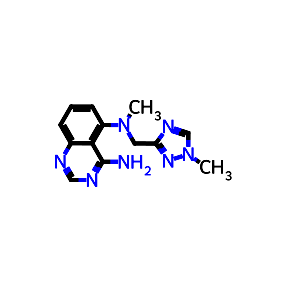 CN(Cc1ncn(C)n1)c1cccc2ncnc(N)c12